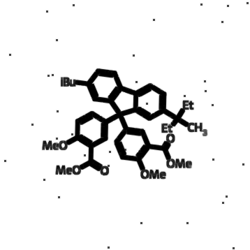 CCC(C)c1ccc2c(c1)C(c1ccc(OC)c(C(=O)OC)c1)(c1ccc(OC)c(C(=O)OC)c1)c1cc(C(C)(CC)CC)ccc1-2